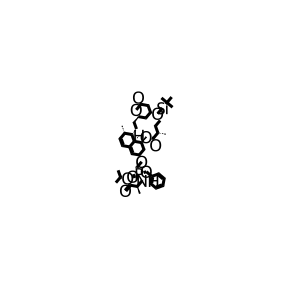 CC[C@H](C)C(=O)O[C@H]1C[C@H](OCP(=O)(N[C@@H](C)C(=O)OC(C)C)Oc2ccccc2)C=C2C=C[C@H](C)[C@H](CC[C@@H]3C[C@@H](O[Si](C)(C)C(C)(C)C)CC(=O)O3)[C@H]21